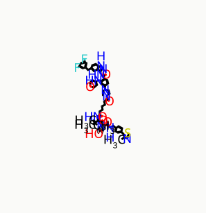 Cc1ncsc1-c1ccc(CNC(=O)[C@@H]2C[C@@H](O)CN2C(=O)C(NC(=O)CCCCCC(=O)N2CCN(c3ccc(C(=O)Nc4n[nH]c5ccc(Cc6cc(F)cc(F)c6)cc45)c(NC4CCOCC4)c3)CC2)C(C)(C)C)cc1